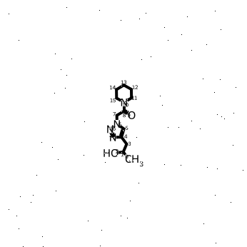 CC(O)Cc1cn(CC(=O)N2CCCCC2)nn1